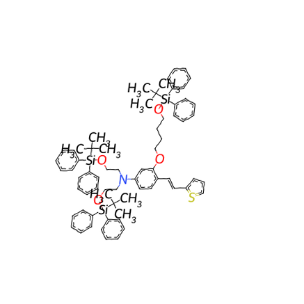 CC(C)(C)[Si](OCCCCOc1cc(N(CCO[Si](c2ccccc2)(c2ccccc2)C(C)(C)C)CCO[Si](c2ccccc2)(c2ccccc2)C(C)(C)C)ccc1C=Cc1cccs1)(c1ccccc1)c1ccccc1